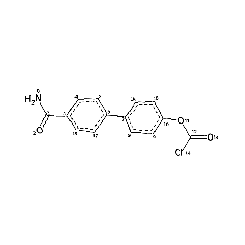 NC(=O)c1ccc(-c2ccc(OC(=O)Cl)cc2)cc1